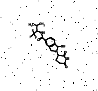 CC(C)C(NC(=O)c1ccc2c(c1)CN(C1CCC(=O)NC1=O)C2O)C(F)(F)F